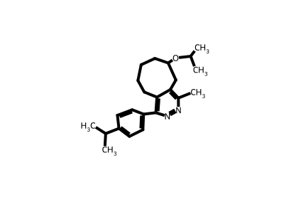 Cc1nnc(-c2ccc(C(C)C)cc2)c2c1CC(OC(C)C)CCCC2